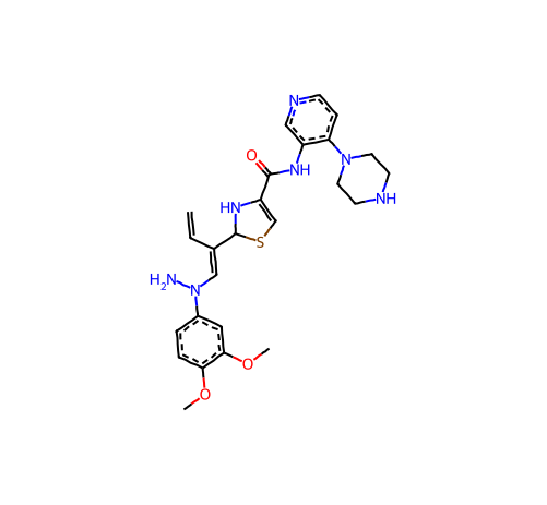 C=C/C(=C\N(N)c1ccc(OC)c(OC)c1)C1NC(C(=O)Nc2cnccc2N2CCNCC2)=CS1